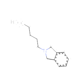 O=C(O)CCCCN1Cc2ccccc2C1